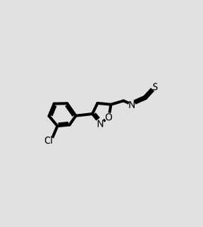 S=C=NCC1CC(c2cccc(Cl)c2)=NO1